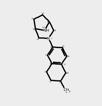 CC1CCc2cc(N3CC4CCC(C3)N4)ccc2C1